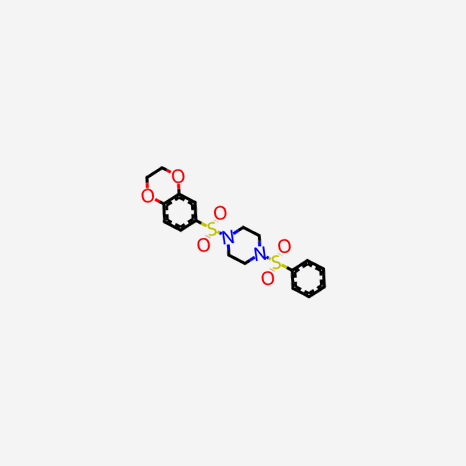 O=S(=O)(c1ccccc1)N1CCN(S(=O)(=O)c2ccc3c(c2)OCCO3)CC1